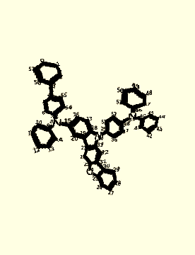 c1ccc(-c2ccc(N(c3ccccc3)c3ccc4c(c3)c3cc5oc6ccccc6c5cc3n4-c3ccc(N(c4ccccc4)c4ccccc4)cc3)cc2)cc1